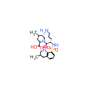 CC1CNc2c(cccc2S(=O)(=O)N[C@@H](CCCN)C(=O)N2CCC(C)CC2C(=O)O)C1